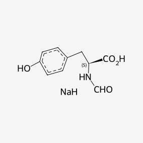 O=CN[C@@H](Cc1ccc(O)cc1)C(=O)O.[NaH]